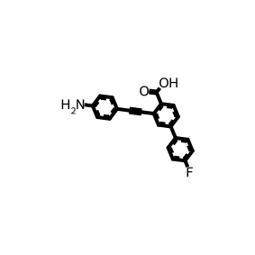 Nc1ccc(C#Cc2cc(-c3ccc(F)cc3)ccc2C(=O)O)cc1